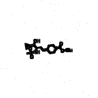 CC(C)(C)OC(=O)N1CCC(=CC[C@@H](NS(C)(=O)=O)C(O)=C2CC2)CC1